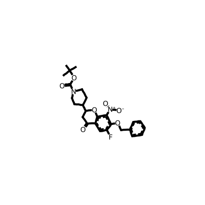 CC(C)(C)OC(=O)N1CCC(C2CC(=O)c3cc(F)c(OCc4ccccc4)c([N+](=O)[O-])c3O2)CC1